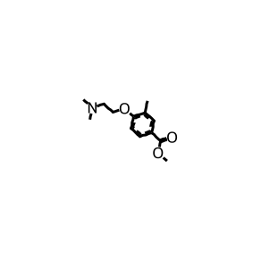 COC(=O)c1ccc(OCCN(C)C)c(C)c1